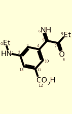 CCNc1cc(C(=N)C(=O)CC)cc(C(=O)O)c1